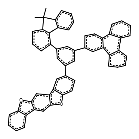 CC1(C)c2ccccc2-c2c(-c3cc(-c4ccc5oc6cc7c(cc6c5c4)oc4ccccc47)cc(-c4ccc5c6ccccc6c6ccccc6c5c4)c3)cccc21